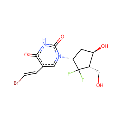 O=c1[nH]c(=O)n([C@@H]2C[C@@H](O)[C@H](CO)C2(F)F)cc1/C=C/Br